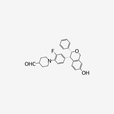 O=CC1CCN(c2ccc([C@H]3c4ccc(O)cc4CO[C@H]3c3ccccc3)cc2F)CC1